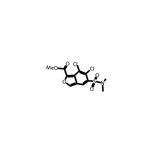 COC(=O)c1occ2cc(S(=O)(=O)N(C)C)c(Cl)c(Cl)c12